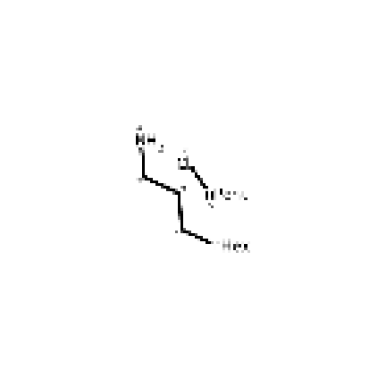 CCCCCCCCCN.CCCCCCl